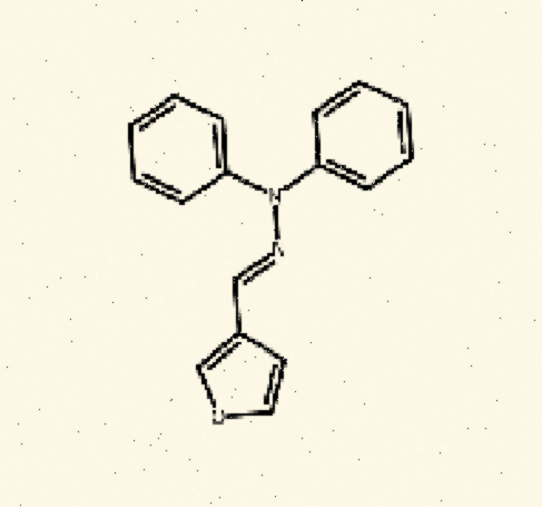 C(=N\N(c1ccccc1)c1ccccc1)/c1ccoc1